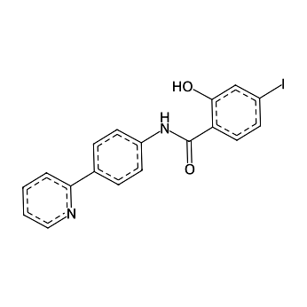 O=C(Nc1ccc(-c2ccccn2)cc1)c1ccc(I)cc1O